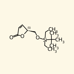 CC[Si](CC)(OC[C@@H]1C=CC(=O)O1)C(C)(C)C